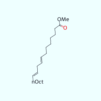 CCCCCCCCC=CCC=CCCCCCCC(=O)OC